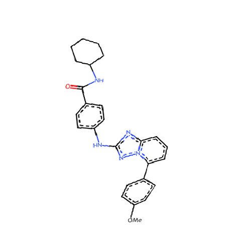 COc1ccc(-c2cccc3nc(Nc4ccc(C(=O)NC5CCCCC5)cc4)nn23)cc1